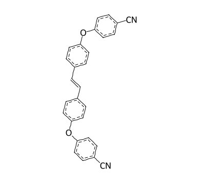 N#Cc1ccc(Oc2ccc(/C=C/c3ccc(Oc4ccc(C#N)cc4)cc3)cc2)cc1